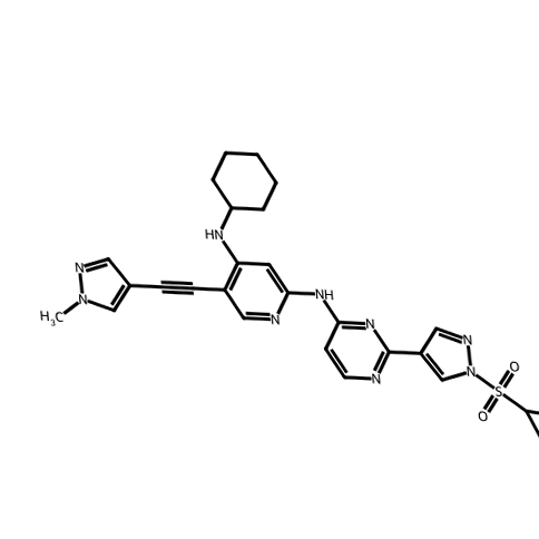 Cn1cc(C#Cc2cnc(Nc3ccnc(-c4cnn(S(=O)(=O)C5CC5)c4)n3)cc2NC2CCCCC2)cn1